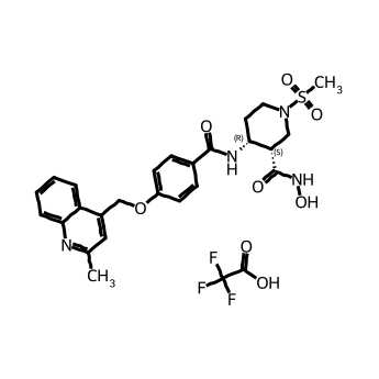 Cc1cc(COc2ccc(C(=O)N[C@@H]3CCN(S(C)(=O)=O)C[C@@H]3C(=O)NO)cc2)c2ccccc2n1.O=C(O)C(F)(F)F